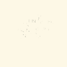 CC(C)(C)OC(=O)NCC(=O)N1C(=O)N(C2CCCCC2)CC1C(=O)OC(C)(C)C